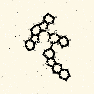 c1ccc2cc3c(cc2c1)sc1ccc(-c2nc(-n4c5ccccc5c5ccc6c7ccccc7sc6c54)nc4ccccc24)cc13